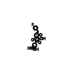 O=C1c2c(O)c(=O)n(C3CCS(O)(O)CC3)c(=O)n2CCN1Cc1ccc(F)cc1